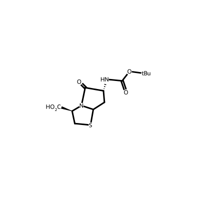 CC(C)(C)OC(=O)N[C@@H]1CC2SC[C@@H](C(=O)O)N2C1=O